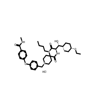 CCCCN1C(=O)[C@@H]([C@H](O)[C@H]2CC[C@@H](OCC)CC2)NC(=O)C12CCN(Cc1ccc(Oc3ccc(C(=O)NC)cc3)cc1)CC2.Cl